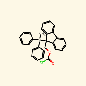 C[Si](c1ccccc1)(c1ccccc1)C1(COC(=O)Cl)c2ccccc2-c2ccccc21